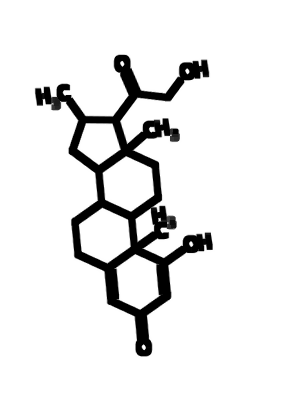 CC1CC2C3CCC4=CC(=O)C=C(O)C4(C)C3CCC2(C)C1C(=O)CO